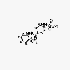 CC(C)S(=O)(=O)N[C@H]1CC[C@H](C(=O)Nc2ccccc2C(F)(F)F)CC1